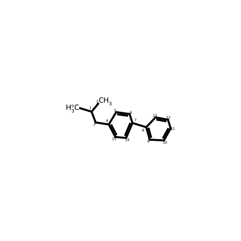 CC(C)Cc1ccc(-c2ccccc2)cc1